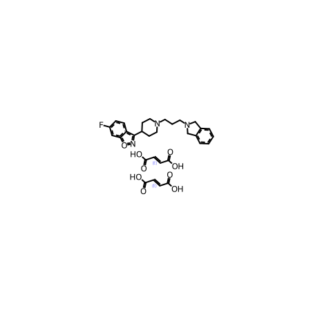 Fc1ccc2c(C3CCN(CCCN4Cc5ccccc5C4)CC3)noc2c1.O=C(O)/C=C/C(=O)O.O=C(O)/C=C/C(=O)O